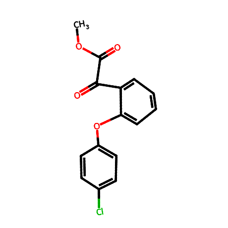 COC(=O)C(=O)c1ccccc1Oc1ccc(Cl)cc1